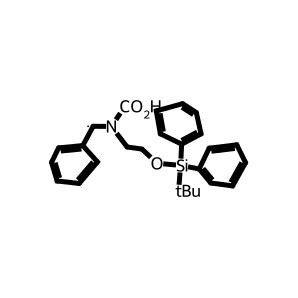 CC(C)(C)[Si](OCCN([CH]c1ccccc1)C(=O)O)(c1ccccc1)c1ccccc1